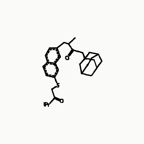 CC(C)C(=O)CSc1ccc2ccc(CC(C)C(=O)CC34CC5CC(CC(C5)C3)C4)cc2c1